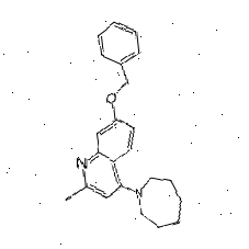 Cc1cc(N2CCCCCC2)c2ccc(OCc3ccccc3)cc2n1